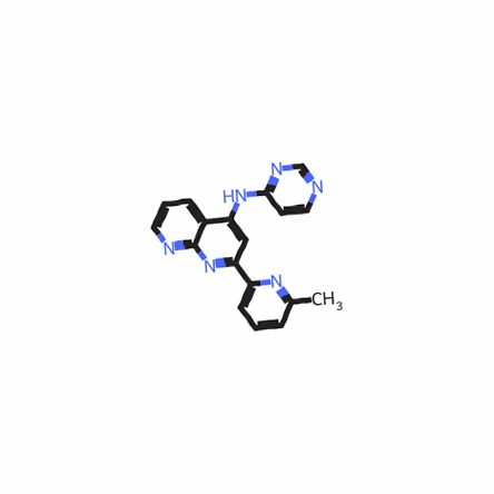 Cc1cccc(-c2cc(Nc3ccncn3)c3cccnc3n2)n1